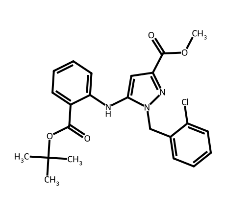 COC(=O)c1cc(Nc2ccccc2C(=O)OC(C)(C)C)n(Cc2ccccc2Cl)n1